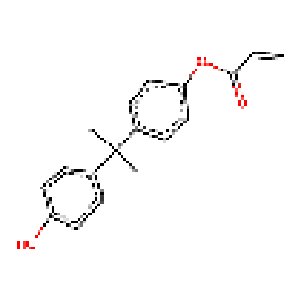 C=CC(=O)Oc1ccc(C(C)(C)c2ccc(O)cc2)cc1